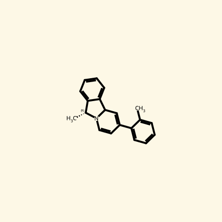 Cc1ccccc1C1=CC2c3ccccc3[C@@H](C)N2C=C1